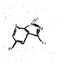 CCc1n[nH]c2ncc(C(C)C)cc12